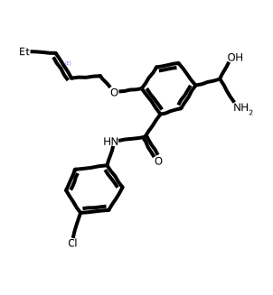 CC/C=C/COc1ccc(C(N)O)cc1C(=O)Nc1ccc(Cl)cc1